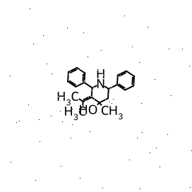 CC(C)=C1C(c2ccccc2)NC(c2ccccc2)CC1(C)O